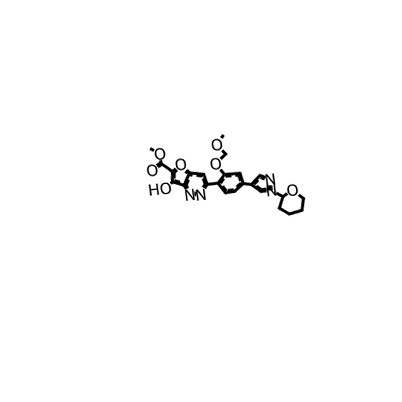 COCOc1cc(-c2cnn(C3CCCCO3)c2)ccc1-c1cc2oc(C(=O)OC)c(O)c2nn1